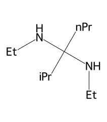 CCCC(NCC)(NCC)C(C)C